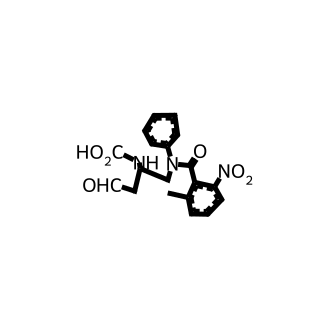 Cc1cccc([N+](=O)[O-])c1C(=O)N(CC(CC=O)NC(=O)O)c1ccccc1